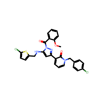 COc1ccccc1C(=O)n1nc(-c2cccn(Cc3ccc(Cl)cc3)c2=O)cc1NCc1ccc(Cl)s1